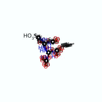 O=C(Nc1cc(C(=O)Nc2ccc(S(=O)(=O)[O-])cc2S(=O)(=O)[O-])cc(C(=O)Nc2ccc(S(=O)(=O)[O-])cc2S(=O)(=O)[O-])c1)Nc1cc(C(=O)Nc2ccc(S(=O)(=O)[O-])cc2S(=O)(=O)O)cc(C(=O)Nc2ccc(S(=O)(=O)O)cc2S(=O)(=O)O)c1.[Na+].[Na+].[Na+].[Na+].[Na+]